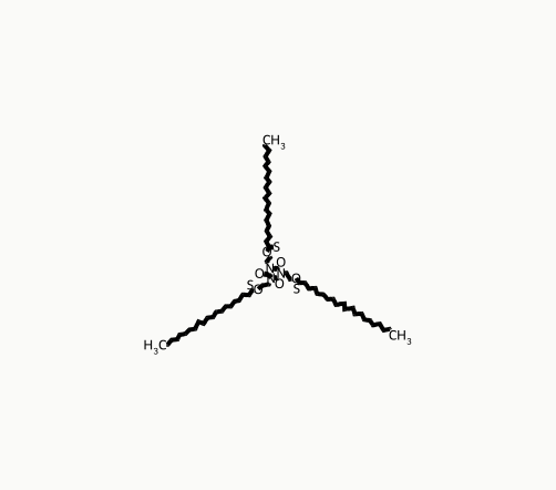 CCCCCCCCCCCCCCCCCCCCC(=S)OCCn1c(=O)n(CCOC(=S)CCCCCCCCCCCCCCCCCCCC)c(=O)n(CCOC(=S)CCCCCCCCCCCCCCCCCCCC)c1=O